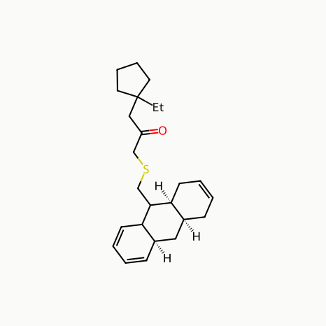 CCC1(CC(=O)CSCC2C3C=CC=C[C@@H]3C[C@@H]3CC=CC[C@H]23)CCCC1